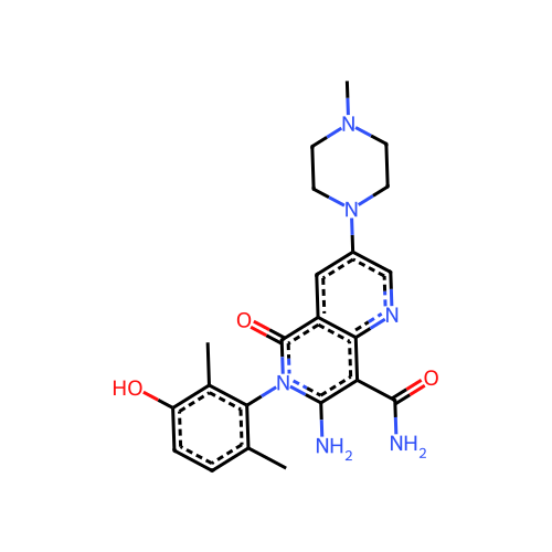 Cc1ccc(O)c(C)c1-n1c(N)c(C(N)=O)c2ncc(N3CCN(C)CC3)cc2c1=O